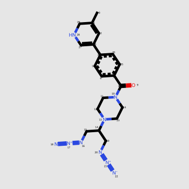 CC1=CC(c2ccc(C(=O)N3CCN(C(CN=[N+]=[N-])CN=[N+]=[N-])CC3)cc2)=CNC1